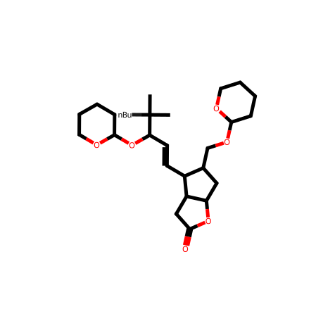 CCCCC(C)(C)C(/C=C/C1C(COC2CCCCO2)CC2OC(=O)CC21)OC1CCCCO1